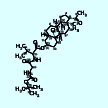 CC(=O)[C@H]1CC[C@H]2[C@@H]3CC[C@H]4C[C@H](OC(=O)C(NC(=O)CNC(=O)OC(C)(C)C)C(C)C)CC[C@]4(C)[C@H]3CC[C@]12C